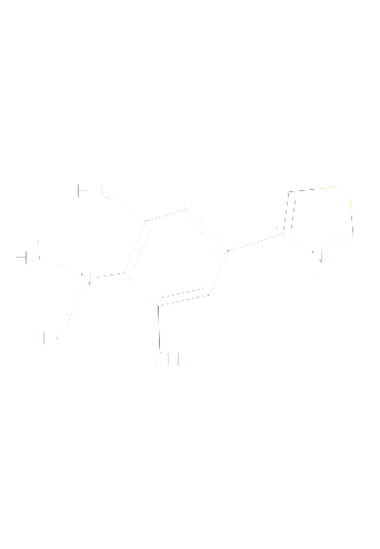 Cc1cc(-c2cscn2)cc(C)c1N(C)C